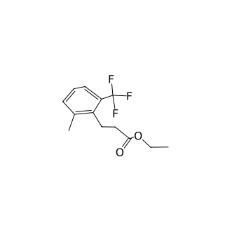 CCOC(=O)CCc1c(C)cccc1C(F)(F)F